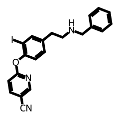 N#Cc1ccc(Oc2ccc(CCNCc3ccccc3)cc2I)nc1